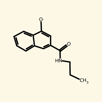 CCCNC(=O)c1cc([O])c2ccccc2c1